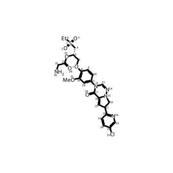 CCS(=O)(=O)C[C@H](COc1ccc(N2C=NN3CC(c4ccc(Cl)cn4)C=C3C2=O)cc1OC)OC(=O)CN